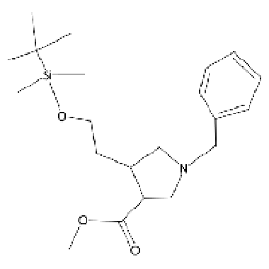 COC(=O)C1CN(Cc2ccccc2)CC1CCO[Si](C)(C)C(C)(C)C